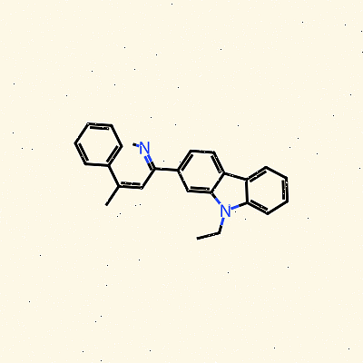 CCn1c2ccccc2c2ccc(C(/C=C(/C)c3ccccc3)=N/C)cc21